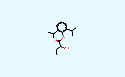 CCC(O)C(=O)Oc1c(C(C)C)cccc1C(C)C